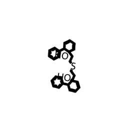 OC1(CCSCCC2(O)C=CC=CC2c2ccccc2)C=CC=CC1c1ccccc1